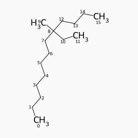 CCCCCCCCC(C)(CC)CCCC